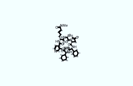 CNC(=O)/C=C/CC[C@H](NC(=O)c1ccncc1C(=O)O)C(=O)N[C@H](C(=O)N1CC(=O)C[C@H]1C(=O)N[C@H](C(=O)N[C@H](C(N)=O)C1CCCCC1)C1CCCCC1)C(C)(C)C